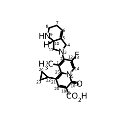 Cc1c(N2CC3=CCCN[C@H]3C2)c(F)cn2c(=O)c(C(=O)O)cc(C3CC3)c12